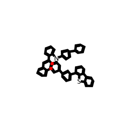 c1ccc(-c2ccc(N(c3cccc(-c4cccc(-c5cccc6c5sc5ccccc56)c4)c3)c3ccccc3-c3ccc4ccccc4c3)cc2)cc1